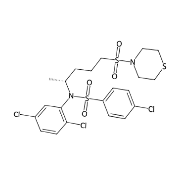 C[C@H](CCCS(=O)(=O)N1CCSCC1)N(c1cc(Cl)ccc1Cl)S(=O)(=O)c1ccc(Cl)cc1